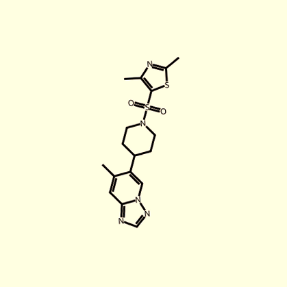 Cc1nc(C)c(S(=O)(=O)N2CCC(c3cn4ncnc4cc3C)CC2)s1